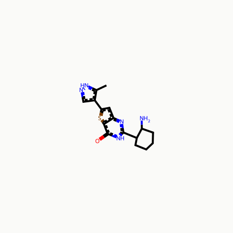 Cc1[nH]ncc1-c1cc2nc(C3CCCCC3N)[nH]c(=O)c2s1